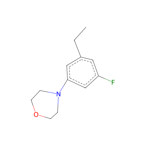 CCc1cc(F)cc(N2CCOCC2)c1